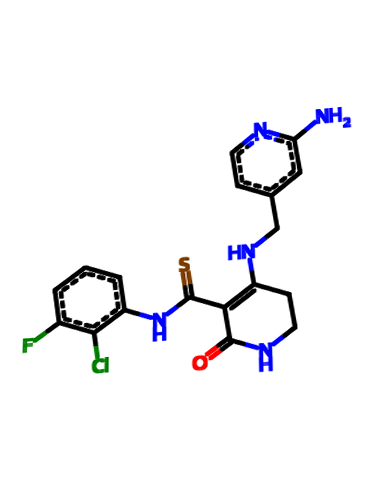 Nc1cc(CNC2=C(C(=S)Nc3cccc(F)c3Cl)C(=O)NCC2)ccn1